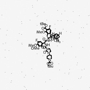 COc1c(F)cc(C(NC(=O)N2CCN(C3CCN(C(=O)OC(C)(C)C)CC3)C2=O)C(=O)N[C@@H](Cc2ccc(F)c(C(=O)OC(C)(C)C)c2OC)B2O[C@@H]3C[C@@H]4C[C@@H](C4(C)C)[C@]3(C)O2)c(Cl)c1OC